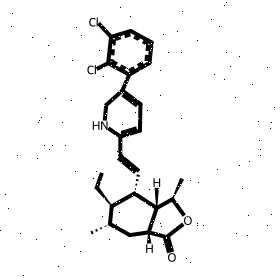 CC[C@H]1[C@H](/C=C/C2=CC=C(c3cccc(Cl)c3Cl)CN2)[C@@H]2[C@@H](C)OC(=O)[C@@H]2C[C@@H]1C